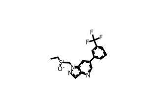 CC[S+]([O-])Cn1ncc2ncc(-c3cccc(C(F)(F)F)c3)cc21